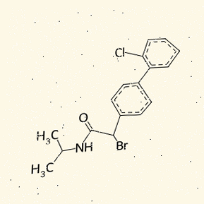 CC(C)NC(=O)C(Br)c1ccc(-c2ccccc2Cl)cc1